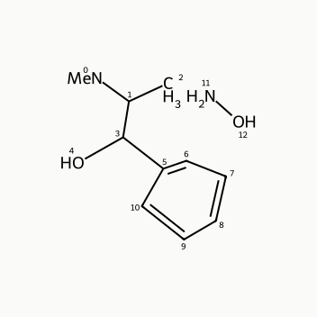 CNC(C)C(O)c1ccccc1.NO